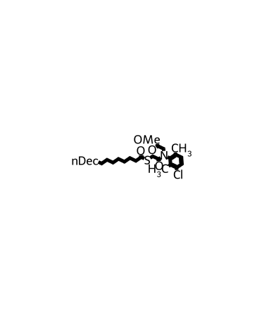 CCCCCCCCCCCCCCCCCC(=O)SCC(=O)N(CC(=O)OC)c1c(C)ccc(Cl)c1C